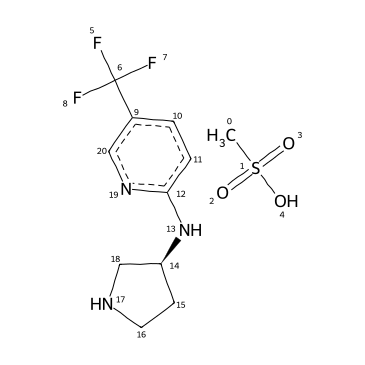 CS(=O)(=O)O.FC(F)(F)c1ccc(N[C@H]2CCNC2)nc1